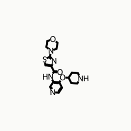 O=C(Nc1cnccc1OC1CCNCC1)c1csc(N2CCOCC2)n1